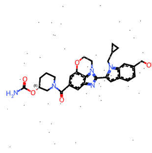 NC(=O)O[C@@H]1CCCN(C(=O)c2cc3c4c(c2)nc(-c2cc5ccc(CO)cc5n2CC2CC2)n4CCO3)C1